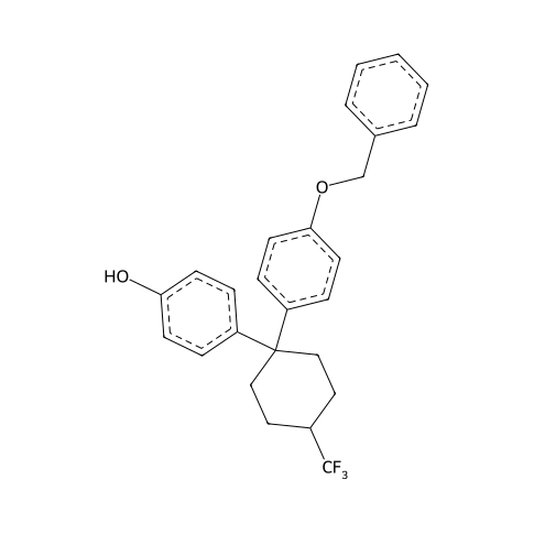 Oc1ccc(C2(c3ccc(OCc4ccccc4)cc3)CCC(C(F)(F)F)CC2)cc1